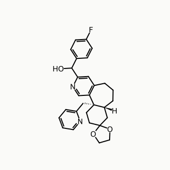 OC(c1ccc(F)cc1)c1cc2c(cn1)[C@]1(Cc3ccccn3)CCC3(C[C@H]1CCC2)OCCO3